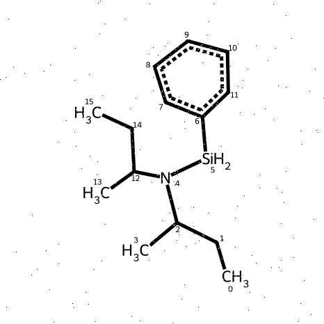 CCC(C)N([SiH2]c1ccccc1)C(C)CC